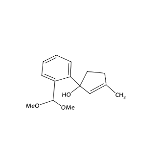 COC(OC)c1ccccc1C1(O)C=C(C)CC1